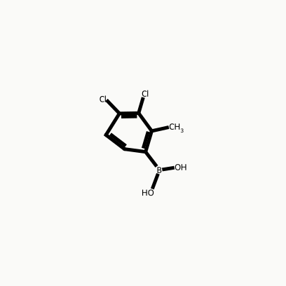 Cc1c(B(O)O)ccc(Cl)c1Cl